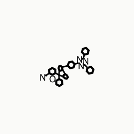 N#Cc1cccc2c1Oc1ccccc1C21c2ccccc2-c2c(-c3ccc(-c4nc(-c5ccccc5)nc(-c5ccccc5)n4)cc3)cccc21